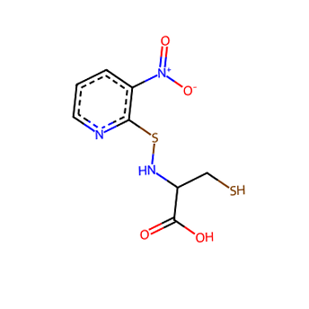 O=C(O)C(CS)NSc1ncccc1[N+](=O)[O-]